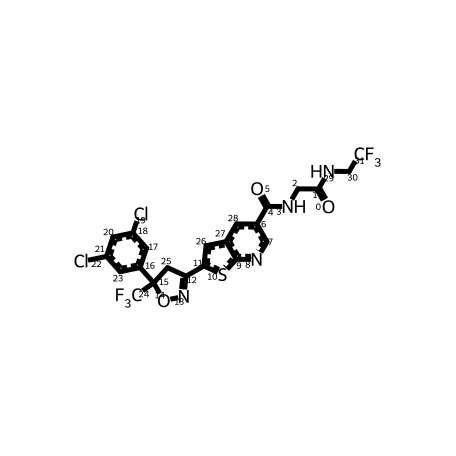 O=C(CNC(=O)c1cnc2sc(C3=NOC(c4cc(Cl)cc(Cl)c4)(C(F)(F)F)C3)cc2c1)NCC(F)(F)F